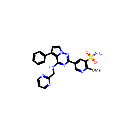 COc1ncc(-c2nc(NCc3ncccn3)c3c(-c4ccccc4)ccn3n2)cc1S(N)(=O)=O